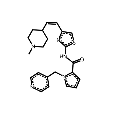 CN1CCC(/C=C\c2csc(NC(=O)c3cccn3Cc3ccncc3)n2)CC1